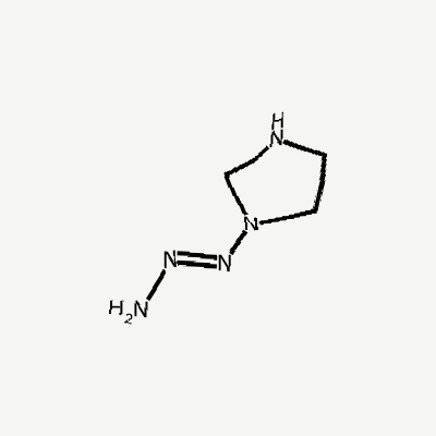 N/N=N/N1CCNC1